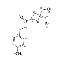 Cc1ccc(CCC(=O)N2CC(CO)(CBr)C2)cc1